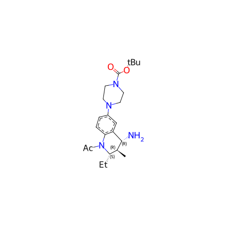 CC[C@H]1[C@H](C)[C@@H](N)c2cc(N3CCN(C(=O)OC(C)(C)C)CC3)ccc2N1C(C)=O